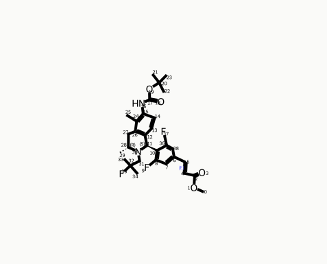 COC(=O)/C=C/c1cc(F)c([C@@H]2c3ccc(NC(=O)OC(C)(C)C)c(C)c3C[C@@H](C)N2CC(C)(C)F)c(F)c1